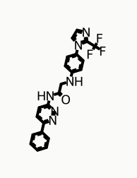 O=C(CNc1ccc(-n2ccnc2C(F)(F)F)cc1)Nc1ccc(-c2ccccc2)nn1